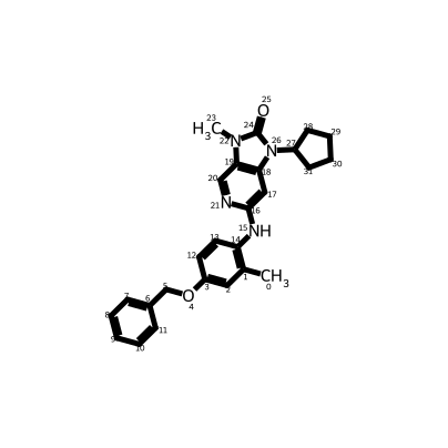 Cc1cc(OCc2ccccc2)ccc1Nc1cc2c(cn1)n(C)c(=O)n2C1CCCC1